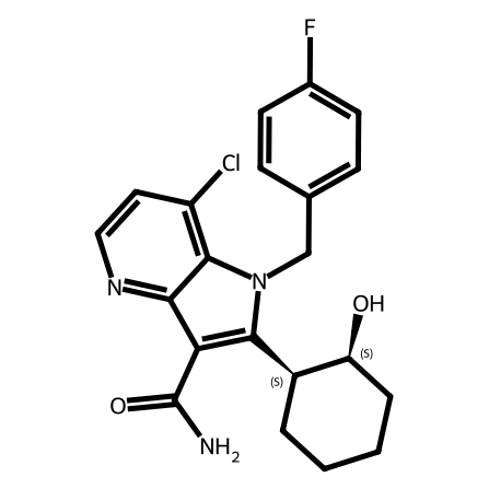 NC(=O)c1c([C@@H]2CCCC[C@@H]2O)n(Cc2ccc(F)cc2)c2c(Cl)ccnc12